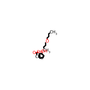 CC(=O)O.CCCCOCCCC.Oc1ccccc1